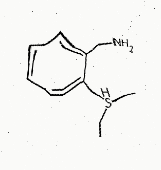 C[SH](C)c1ccccc1N